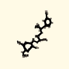 Cc1cc(NCC(C)NCC(O)c2cccc(Cl)c2)c(Cl)cc1CC(=O)O